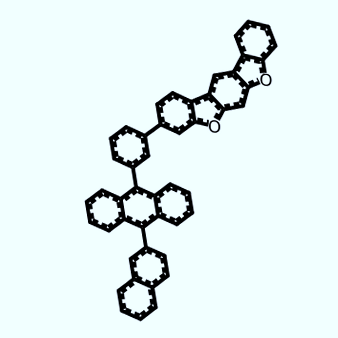 c1cc(-c2ccc3c(c2)oc2cc4oc5ccccc5c4cc23)cc(-c2c3ccccc3c(-c3ccc4ccccc4c3)c3ccccc23)c1